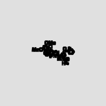 C=CC(=O)NC1CN(C(=O)C2CCCCN2C)CC1N(CC)c1ncc2c(n1)N(C)C(=O)N(c1c(Cl)c(OC)cc(OC)c1Cl)C2